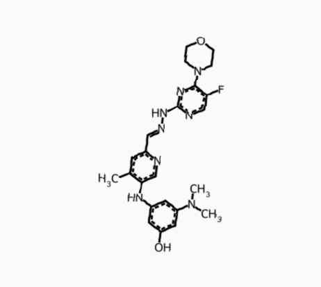 Cc1cc(/C=N/Nc2ncc(F)c(N3CCOCC3)n2)ncc1Nc1cc(O)cc(N(C)C)c1